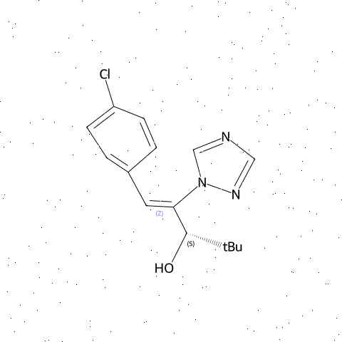 CC(C)(C)[C@H](O)/C(=C/c1ccc(Cl)cc1)n1cncn1